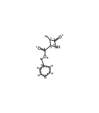 CC1C(=O)NC1C(=O)OCc1ccccc1